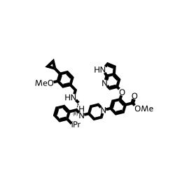 COC(=O)c1ccc(N2CCC(N[C@@H](CNCc3ccc(C4CC4)c(OC)c3)c3ccccc3C(C)C)CC2)cc1Oc1cnc2[nH]ccc2c1